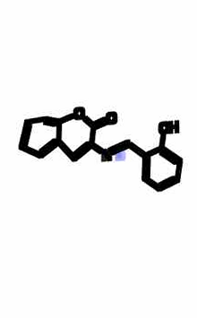 O=c1oc2ccccc2cc1/N=C/c1ccccc1O